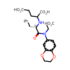 CC(C)C[C@H](NC(CCC(=O)O)C(=O)O)C(=O)N(CC(=O)O)c1ccc2c(c1)OCCO2